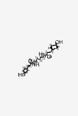 O=C(/C=C/c1ccc(O)cc1)NCCCCCCNC(=O)/C=C/c1ccc(O)cc1